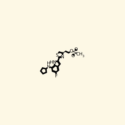 CS(=O)(=O)OCC[C@@H]1CSC(c2cc3cc(F)cc(NC4CCCC4)c3[nH]2)=N1